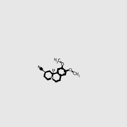 COc1cc2c(cc1OC)[C@@H]1C[C@H](C#N)CCN1CC2